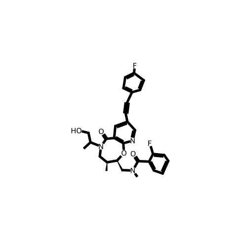 CC(CO)N1C[C@H](C)[C@H](CN(C)C(=O)c2ccccc2F)Oc2ncc(C#Cc3ccc(F)cc3)cc2C1=O